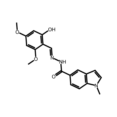 COc1cc(O)c(C=NNC(=O)c2ccc3c(ccn3C)c2)c(OC)c1